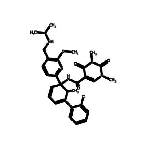 COc1nc(C2(NC(=O)c3cn(C)c(=O)n(C)c3=O)C=CC=C(c3ccccc3Cl)C2C)ccc1CNC(C)C